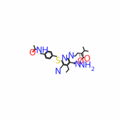 CCc1c(C#N)c(SCc2ccc(CNC(C)=O)cc2)nc(N(C)CC[C@H](C(=O)ON)C(C)C)c1C#N